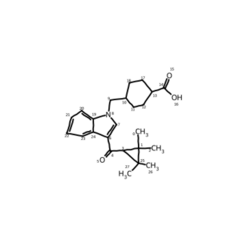 CC1(C)C(C(=O)c2cn(CC3CCC(C(=O)O)CC3)c3ccccc23)C1(C)C